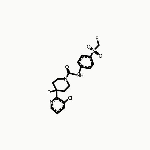 O=C(Nc1ccc(S(=O)(=O)CF)cc1)N1CCC(F)(c2ncccc2Cl)CC1